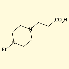 CCN1CCN(CCC(=O)O)CC1